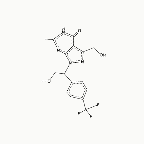 COCC(c1ccc(C(F)(F)F)cc1)n1nc(CO)c2c(=O)[nH]c(C)nc21